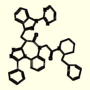 O=C1C(Cc2nn(-c3ncccn3)c3ccccc23)c2nnc(-c3ccccc3)n2-c2ccccc2N1CC(=O)N1CCCCC1Cc1ccccc1